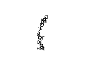 C[C@]1(C2CCN(c3ncc(Cl)cn3)CC2)C[C@H]1CCOc1ccc(CC(=O)N2Cc3cn[nH]c3C2)c(F)c1